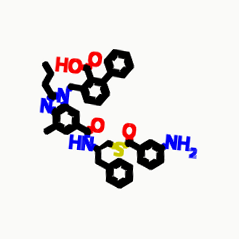 CCCc1nc2c(C)cc(C(=O)N[C@@H](CSC(=O)c3cccc(N)c3)Cc3ccccc3)cc2n1Cc1cccc(-c2ccccc2)c1C(=O)O